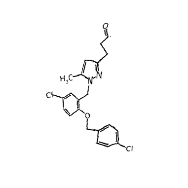 Cc1cc(CC[C]=O)nn1Cc1cc(Cl)ccc1OCc1ccc(Cl)cc1